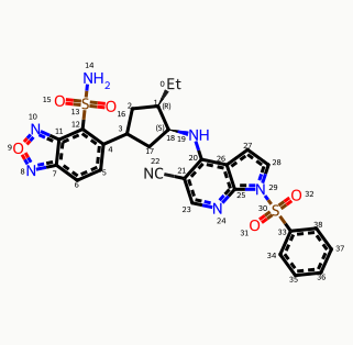 CC[C@@H]1CC(c2ccc3nonc3c2S(N)(=O)=O)C[C@@H]1Nc1c(C#N)cnc2c1ccn2S(=O)(=O)c1ccccc1